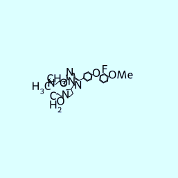 C=CC(=O)N1CCC(c2nc(-c3ccc(Oc4cccc(OC)c4F)cc3)c3cncc(OCCN(C)C)n23)C1